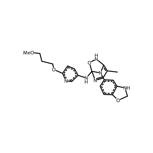 COCCCOc1ccc(NC23N=CC(C)=C(NO2)N3c2ccc3c(c2)NCO3)cn1